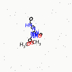 COc1ccc(CNc2ncc(CN3CCC(NCCc4ccccc4)CC3)c3nc(-c4ccco4)nn23)cc1OC